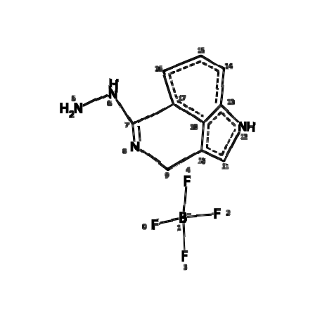 F[B-](F)(F)F.NNC1=NCc2c[nH]c3cccc1c23